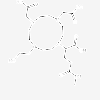 CNC(=O)CCC(C(=O)O)N1CCN(CCO)CCN(CC(=O)O)CCN(CC(=O)O)CC1